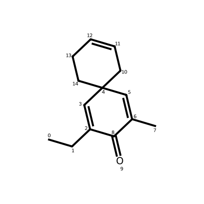 CCC1=CC2(C=C(C)C1=O)CC=CCC2